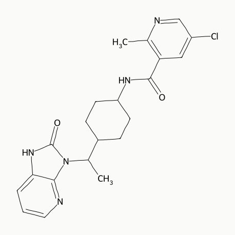 Cc1ncc(Cl)cc1C(=O)NC1CCC(C(C)n2c(=O)[nH]c3cccnc32)CC1